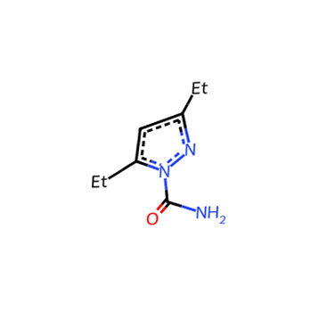 CCc1cc(CC)n(C(N)=O)n1